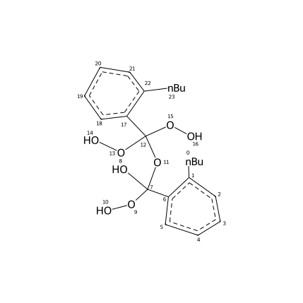 CCCCc1ccccc1C(O)(OO)OC(OO)(OO)c1ccccc1CCCC